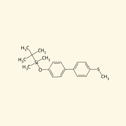 CSc1ccc(-c2ccc(O[Si](C)(C)C(C)(C)C)cc2)cc1